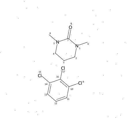 CN1CCCN(C)C1=O.Clc1cccc(Cl)c1Cl